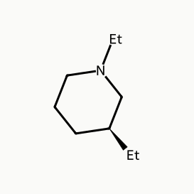 CC[C@H]1CCCN(CC)C1